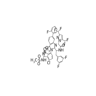 Cn1nc(NS(C)(=O)=O)c2c(Cl)ccc(-n3c(C(Cc4cc(F)cc(F)c4)NC(=O)Cn4nc(C(F)F)cc4C(F)F)nc4cc(-c5ccccc5F)ccc4c3=O)c21